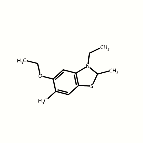 CCOc1cc2c(cc1C)SC(C)N2CC